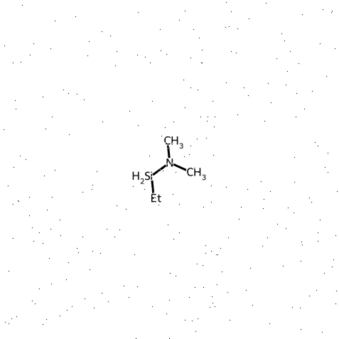 CC[SiH2]N(C)C